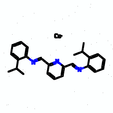 CC(C)c1ccccc1N=Cc1cccc(C=Nc2ccccc2C(C)C)n1.[Co]